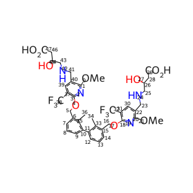 COc1nc(OCc2cccc(-c3cccc(COc4nc(OC)c(CNC[C@@H](O)CC(=O)O)cc4C(F)(F)F)c3C)c2C)c(C(F)(F)F)cc1CNC[C@@H](O)CC(=O)O